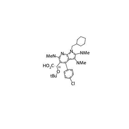 CNc1nc2c(c(NC)c(NC)n2CC2CCCCC2)c(-c2ccc(Cl)cc2)c1[C@H](OC(C)(C)C)C(=O)O